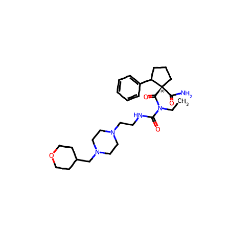 CCN(C(=O)NCCN1CCN(CC2CCOCC2)CC1)C(=O)[C@]1(C(N)=O)CCCC1c1ccccc1